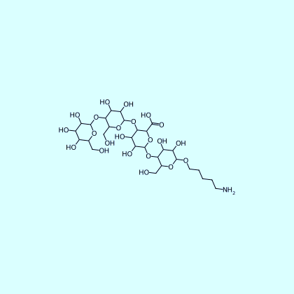 NCCCCCOC1OC(CO)C(OC2OC(C(=O)O)C(OC3OC(CO)C(OC4OC(CO)C(O)C(O)C4O)C(O)C3O)C(O)C2O)C(O)C1O